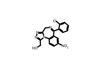 O=[N+]([O-])c1ccc2c(c1)C(c1ccccc1Cl)=NCc1nnc(CO)n1-2